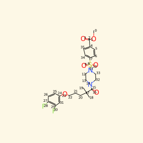 COC(=O)c1ccc(S(=O)(=O)N2CCN(C(=O)C(C)(C)CCCOc3ccc(F)c(F)c3)CC2)cc1